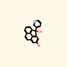 OC1(c2cccnc2)c2cccc3ccc4cc(Br)cc1c4c23